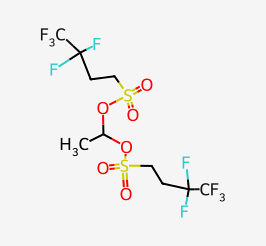 CC(OS(=O)(=O)CCC(F)(F)C(F)(F)F)OS(=O)(=O)CCC(F)(F)C(F)(F)F